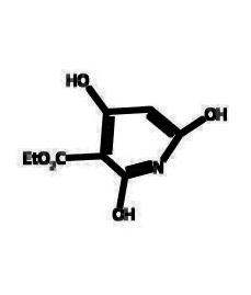 CCOC(=O)c1c(O)cc(O)nc1O